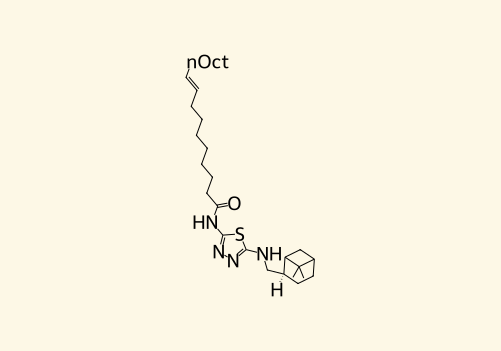 CCCCCCCC/C=C/CCCCCCCC(=O)Nc1nnc(NC[C@@H]2CCC3CC2C3(C)C)s1